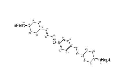 CCCCCCC[C@H]1CC[C@H](CCc2ccc(OC/C=C/[C@H]3CC[C@H](CCCCC)CC3)cc2)CC1